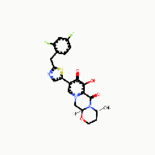 C[C@@H]1CCO[C@H]2Cn3cc(-c4cnc(Cc5ccc(F)cc5F)s4)c(=O)c(O)c3C(=O)N12